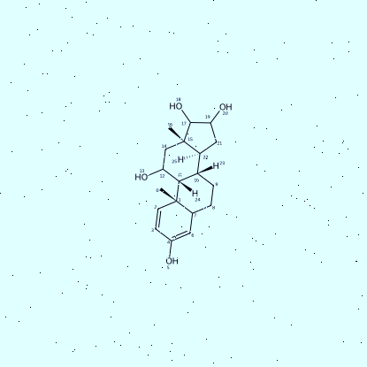 C[C@]12C=CC(O)=CC1CC[C@@H]1[C@H]2C(O)C[C@]2(C)C(O)C(O)C[C@@H]12